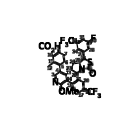 COc1ncc(-c2ccc(C(=O)O)cc2C)cc1-c1ccc(C(F)(F)F)cc1[C@@H]1CCC2C(c3cc(F)cc(C(F)(F)F)c3)SC(=O)N21